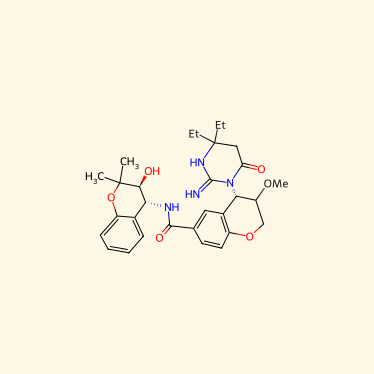 CCC1(CC)CC(=O)N([C@H]2c3cc(C(=O)N[C@@H]4c5ccccc5OC(C)(C)[C@H]4O)ccc3OCC2OC)C(=N)N1